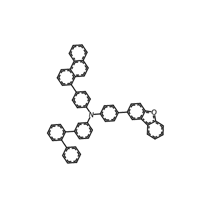 c1ccc(-c2ccccc2-c2cccc(N(c3ccc(-c4ccc5oc6ccccc6c5c4)cc3)c3ccc(-c4cccc5c4ccc4ccccc45)cc3)c2)cc1